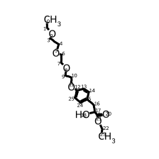 CCOCCOCCOCCOc1ccc(CC(O)C(=O)OCC)cc1